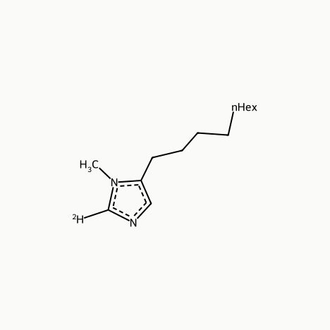 [2H]c1ncc(CCCCCCCCCC)n1C